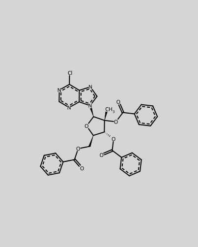 C[C@@]1(OC(=O)c2ccccc2)[C@H](OC(=O)c2ccccc2)[C@@H](COC(=O)c2ccccc2)O[C@H]1n1cnc2c(Cl)ncnc21